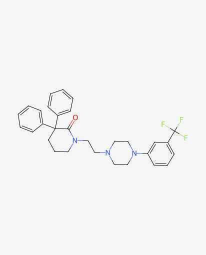 O=C1N(CCN2CCN(c3cccc(C(F)(F)F)c3)CC2)CCCC1(c1ccccc1)c1ccccc1